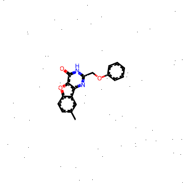 Cc1ccc2oc3c(=O)[nH]c(COc4ccccc4)nc3c2c1